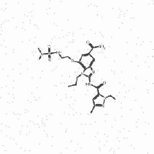 CCCn1c(NC(=O)c2cc(C)nn2CC)nc2cc(C(N)=O)cc(OCCNS(=O)(=O)N(C)C)c21